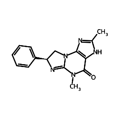 Cc1nc2c([nH]1)C(=O)N(C)C1=N[C@@H](c3ccccc3)CN12